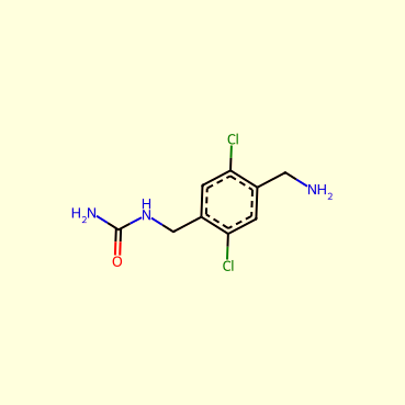 NCc1cc(Cl)c(CNC(N)=O)cc1Cl